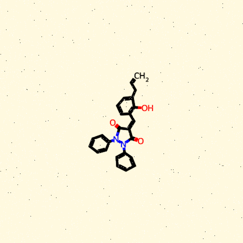 C=CCc1cccc(C=C2C(=O)N(c3ccccc3)N(c3ccccc3)C2=O)c1O